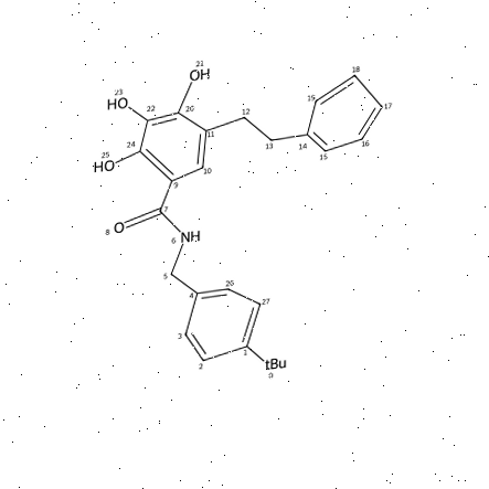 CC(C)(C)c1ccc(CNC(=O)c2cc(CCc3ccccc3)c(O)c(O)c2O)cc1